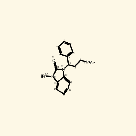 CNCCC(c1ccccc1)n1c(=O)n(C(C)C)c2ccccc21